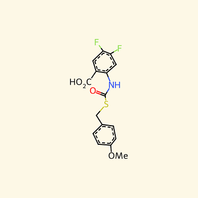 COc1ccc(CSC(=O)Nc2cc(F)c(F)cc2C(=O)O)cc1